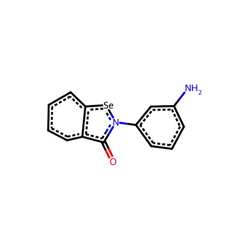 Nc1cccc(-n2[se]c3ccccc3c2=O)c1